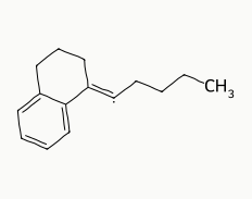 CCCC[C]=C1CCCc2ccccc21